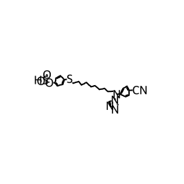 N#Cc1ccc(N(CCCCCCCCCCSc2ccc(O[SH](=O)=O)cc2)n2cnnc2)cc1